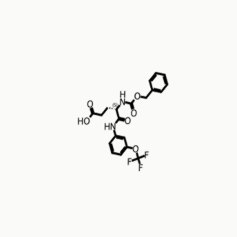 O=C(O)CC[C@H](NC(=O)OCc1ccccc1)C(=O)Nc1cccc(OC(F)(F)F)c1